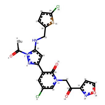 CC(C)(C)C(=O)n1nc(-c2cc(Cl)cn(CC(=O)c3ccon3)c2=O)cc1NCc1ccc(Cl)s1